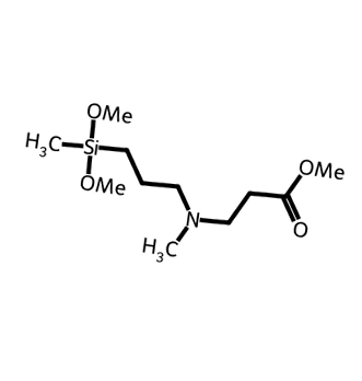 COC(=O)CCN(C)CCC[Si](C)(OC)OC